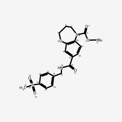 CC(C)(C)OC(=O)N1CCCOc2cc(C(=O)NCc3ccc(S(C)(=O)=O)cc3)ccc21